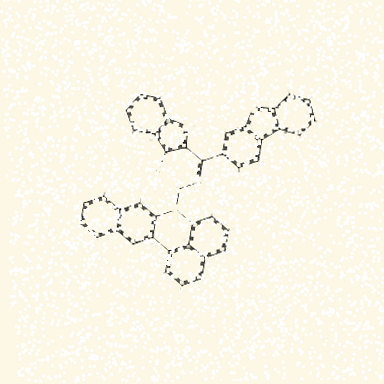 Nc1c(/C(=N\CN2c3cc4ccccc4cc3-c3cccc4cccc2c34)c2ccc3c(c2)oc2ccccc23)sc2ccccc12